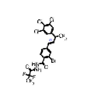 O=C(NNC(=O)C(F)(F)C(F)(F)F)c1ccc(/C=C/C(c2cc(Cl)c(Cl)c(Cl)c2)C(F)(F)F)cc1Br